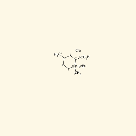 CCCC[N+]1(C)CCC(C)CC1C(=O)O.[Cl-]